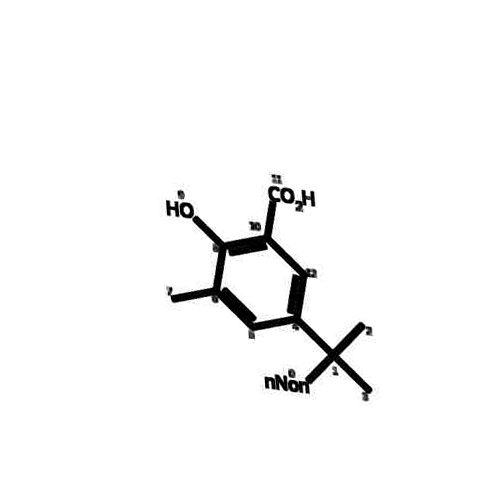 CCCCCCCCCC(C)(C)c1cc(C)c(O)c(C(=O)O)c1